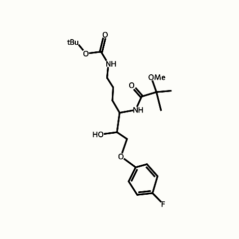 COC(C)(C)C(=O)NC(CCCNC(=O)OC(C)(C)C)C(O)COc1ccc(F)cc1